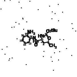 C=CC[C@H](NC(=O)OC(C)(C)C)C(=O)Nc1ccccc1N